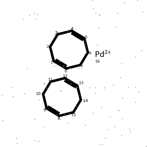 C1=CCCC=CCC1.C1=CCCC=CCC1.[Pd+2]